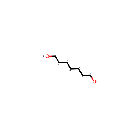 [O]CCCCCCC[O]